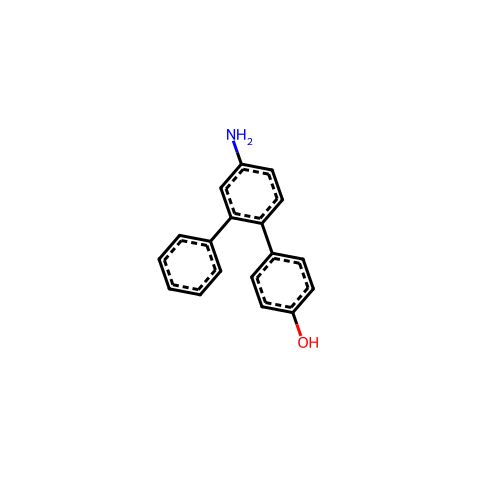 Nc1ccc(-c2ccc(O)cc2)c(-c2ccccc2)c1